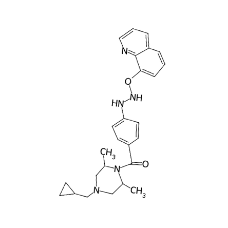 CC1CN(CC2CC2)CC(C)N1C(=O)c1ccc(NNOc2cccc3cccnc23)cc1